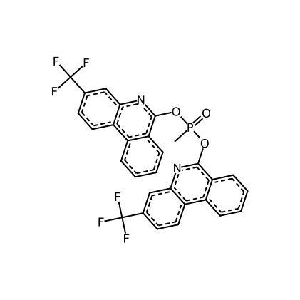 CP(=O)(Oc1nc2cc(C(F)(F)F)ccc2c2ccccc12)Oc1nc2cc(C(F)(F)F)ccc2c2ccccc12